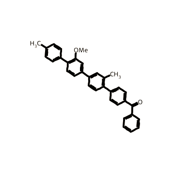 COc1cc(-c2ccc(-c3ccc(C(=O)c4ccccc4)cc3)c(C)c2)ccc1-c1ccc(C)cc1